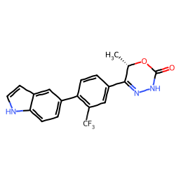 C[C@@H]1OC(=O)NN=C1c1ccc(-c2ccc3[nH]ccc3c2)c(C(F)(F)F)c1